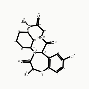 CCC1Oc2ccc(Cl)cc2C(C(=O)NCC(=O)OC(C)(C)C)N(C2CCCCC2)C1=O